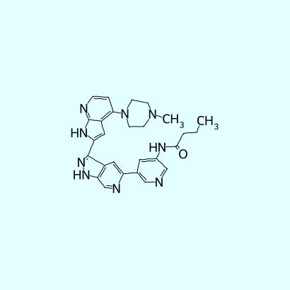 CCCC(=O)Nc1cncc(-c2cc3c(-c4cc5c(N6CCN(C)CC6)ccnc5[nH]4)n[nH]c3cn2)c1